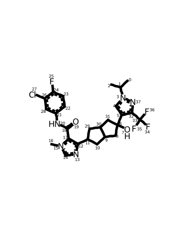 CC(C)n1cc(C2(O)CC3CC(c4ncn(C)c4C(=O)Nc4ccc(F)c(Cl)c4)CC3C2)c(C(F)(F)F)n1